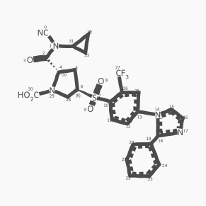 N#CN(C(=O)[C@@H]1C[C@@H](S(=O)(=O)c2ccc(-n3ccnc3-c3ccccc3)cc2C(F)(F)F)CN1C(=O)O)C1CC1